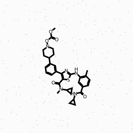 COC(=O)ON1CCC(c2cccc(-c3nc(Nc4cc(C(=O)NC5CC5)ccc4C)sc3C(=O)N(C)C3CC3)c2)CC1